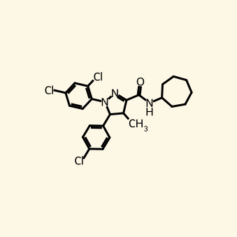 CC1C(C(=O)NC2CCCCCC2)=NN(c2ccc(Cl)cc2Cl)C1c1ccc(Cl)cc1